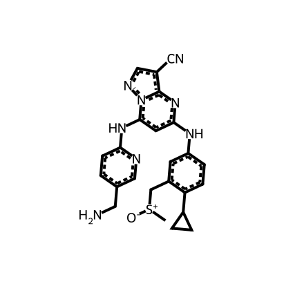 C[S+]([O-])Cc1cc(Nc2cc(Nc3ccc(CN)cn3)n3ncc(C#N)c3n2)ccc1C1CC1